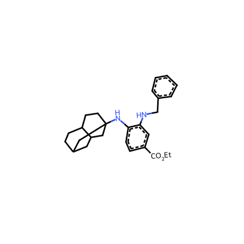 CCOC(=O)c1ccc(NC23CCC4CCC(CC4C2)C3)c(NCc2ccccc2)c1